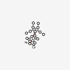 N#Cc1ccc(-n2c3c(c4ccccc42)C=CCC3)c(C2=C=C=C(n3c4ccccc4c4cc(-c5cc6c7c(c5)N(c5ccc(-c8ccccc8)cc5)c5ccc(-c8ccccc8)cc5B7c5cc(-c7ccccc7)ccc5N6c5ccc(-c6ccccc6)cc5)ccc43)C(c3cc(C#N)ccc3-n3c4ccccc4c4ccccc43)=C2)c1